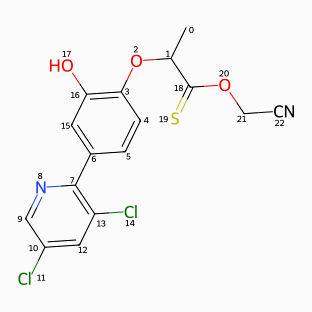 CC(Oc1ccc(-c2ncc(Cl)cc2Cl)cc1O)C(=S)OCC#N